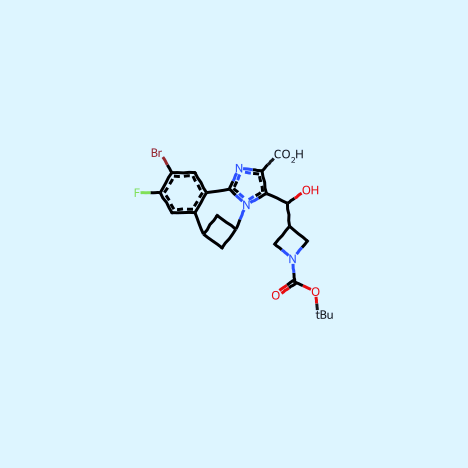 CC(C)(C)OC(=O)N1CC(C(O)c2c(C(=O)O)nc3n2C2CC(C2)c2cc(F)c(Br)cc2-3)C1